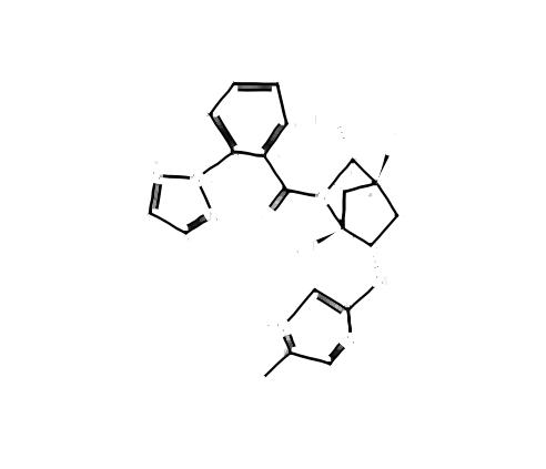 C[C@@H]1[C@@H]2C[C@H](Nc3cnc(C(F)(F)F)cn3)[C@@H](C2)N1C(=O)c1ccccc1-n1nccn1